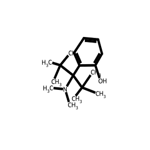 CN(C)C(c1ccccc1O)(C(C)(C)C)C(C)(C)C